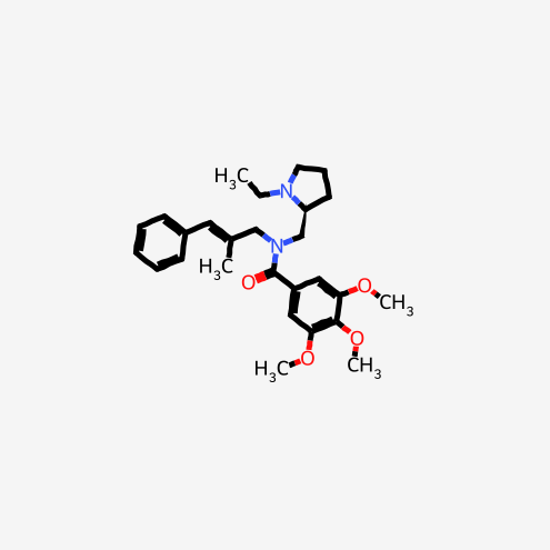 CCN1CCC[C@H]1CN(C/C(C)=C/c1ccccc1)C(=O)c1cc(OC)c(OC)c(OC)c1